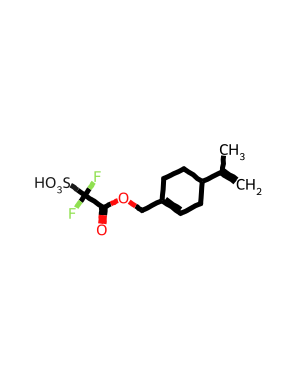 C=C(C)C1CC=C(COC(=O)C(F)(F)S(=O)(=O)O)CC1